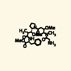 CCC(C)C(C(CC(=O)N1CCC[C@H]1C(OC)C(C)C(=O)N[C@@H](Cc1ccccc1)C(=O)OC)OC)N(C)C(=O)CN